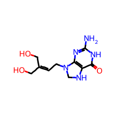 Nc1nc2c(c(=O)[nH]1)NCN2CC=C(CO)CO